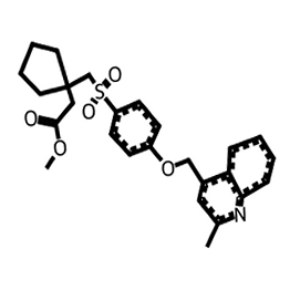 COC(=O)CC1(CS(=O)(=O)c2ccc(OCc3cc(C)nc4ccccc34)cc2)CCCC1